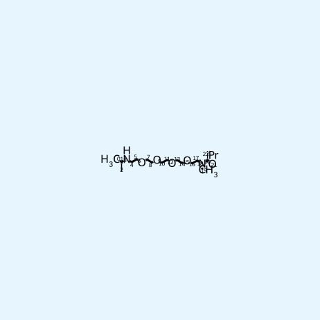 CC(I)NCCOCCOCCOCCOCCN(C)C(=O)C(C)C